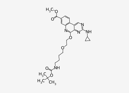 COC(=O)c1ccc2c(c1)nc(OCCOCCCCNC(=O)OC(C)(C)C)c1nc(NC3CC3)ncc12